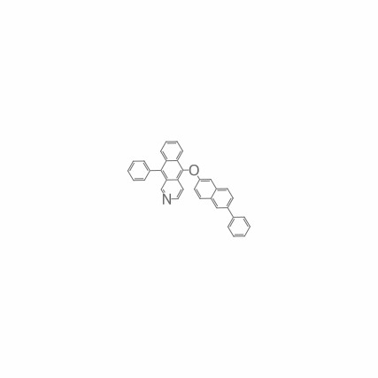 c1ccc(-c2ccc3cc(Oc4c5ccccc5c(-c5ccccc5)c5cnccc45)ccc3c2)cc1